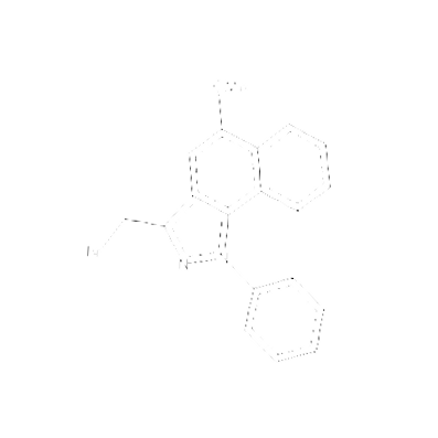 COc1cc2c(CBr)nn(-c3ccccc3)c2c2ccccc12